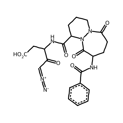 [N-]=[N+]=CC(=O)C(CC(=O)O)NC(=O)C1CCCN2C(=O)CCC(NC(=O)c3ccccc3)C(=O)N12